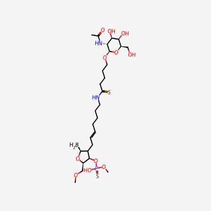 B[C@@H]1O[C@H](COC)[C@H](OP(O)(=S)OC)C1C/C=C/CCCCNC(=S)CCCCO[C@@H]1O[C@H](CO)[C@H](O)[C@H](O)[C@H]1NC(C)=O